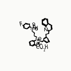 O=C(O)c1ccccc1N(CCCCN(c1ccc(F)cc1)[SH](=O)=O)S(=O)(=O)Cc1cccc(CCc2ccc3ccccc3n2)c1